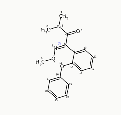 CO/N=C(/C(=O)N(C)C)c1ccccc1Oc1ccccc1